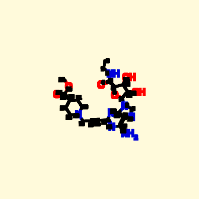 CCNC(=O)C1OC(n2cnc3c(N)nc(C#CCN4CCC(C(=O)OC)CC4)nc32)C(O)C1O